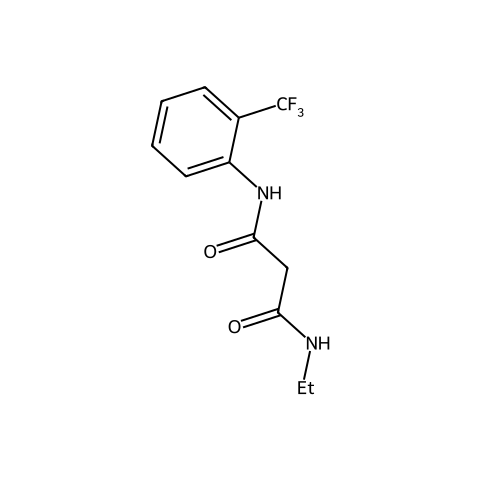 CCNC(=O)CC(=O)Nc1ccccc1C(F)(F)F